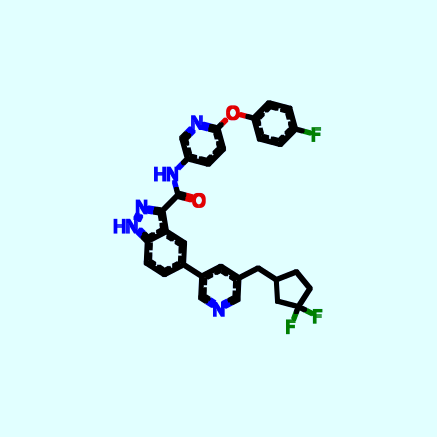 O=C(Nc1ccc(Oc2ccc(F)cc2)nc1)c1n[nH]c2ccc(-c3cncc(CC4CCC(F)(F)C4)c3)cc12